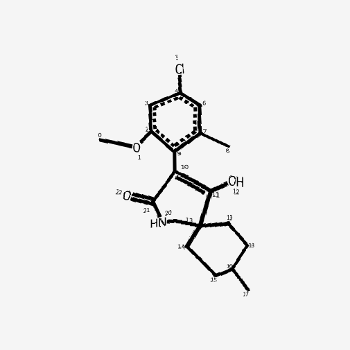 COc1cc(Cl)cc(C)c1C1=C(O)C2(CCC(C)CC2)NC1=O